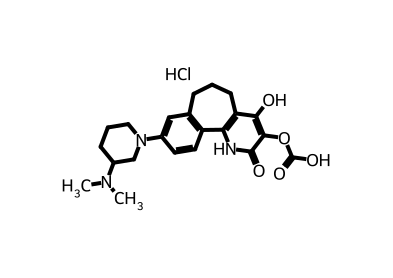 CN(C)C1CCCN(c2ccc3c(c2)CCCc2c-3[nH]c(=O)c(OC(=O)O)c2O)C1.Cl